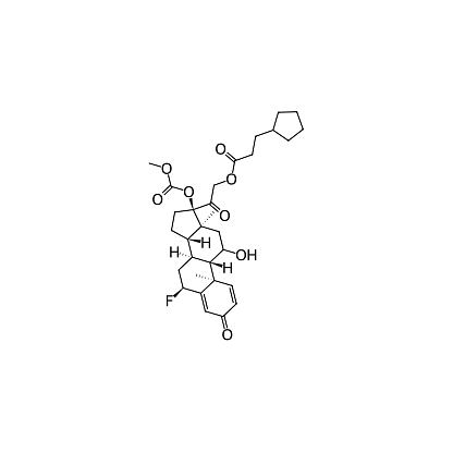 COC(=O)O[C@]1(C(=O)COC(=O)CCC2CCCC2)CC[C@H]2[C@@H]3C[C@H](F)C4=CC(=O)C=C[C@]4(C)[C@H]3C(O)C[C@@]21C